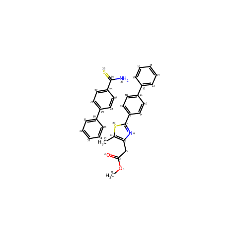 COC(=O)Cc1nc(-c2ccc(-c3ccccc3)cc2)sc1C.NC(=S)c1ccc(-c2ccccc2)cc1